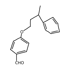 CC(CCOc1ccc(C=O)cc1)c1ccccc1